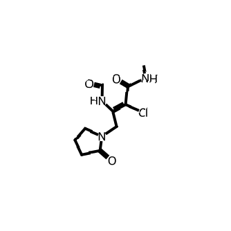 CNC(=O)/C(Cl)=C(/CN1CCCC1=O)NC=O